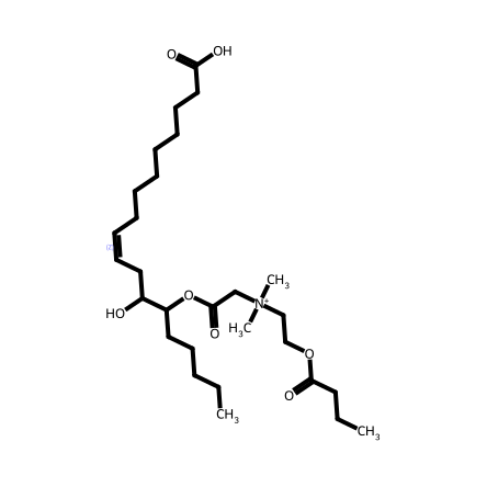 CCCCCC(OC(=O)C[N+](C)(C)CCOC(=O)CCC)C(O)C/C=C\CCCCCCCC(=O)O